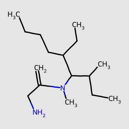 C=C(CN)N(C)C(C(C)CC)C(CC)CCCC